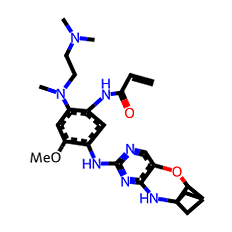 C=CC(=O)Nc1cc(Nc2ncc3c(n2)NC24CC(C2)C4O3)c(OC)cc1N(C)CCN(C)C